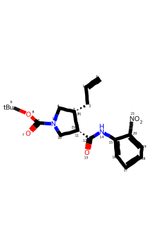 C=CC[C@H]1CN(C(=O)OC(C)(C)C)C[C@H]1C(=O)Nc1ccccc1[N+](=O)[O-]